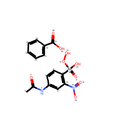 CC(=O)Nc1ccc([As](=O)(O)OO)c([N+](=O)[O-])c1.O=C(O)c1ccccc1